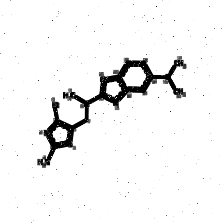 CCc1nc(N)sc1CN(C)c1nc2cc(N(C)C)ccc2o1